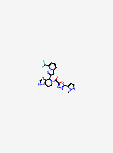 Cn1nccc1-c1nnc(C(=O)N2CCc3[nH]cnc3C2c2cc3cccc(C(F)F)n3n2)o1